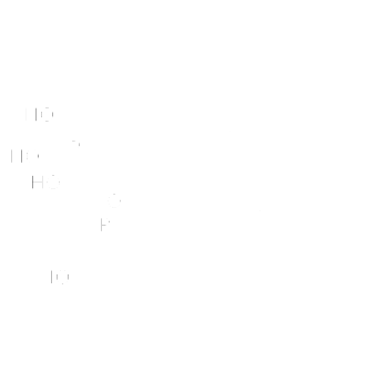 CCCCCCCCCCCCP(=O)(CCO)CCO.CCCCCCCCCCCCP(CO)CO